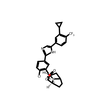 O=S(=O)(c1cc(-c2ncc(-c3ccc(C(F)(F)F)c(C4CC4)c3)[nH]2)ccc1Cl)N1C2CC[C@H]1C[C@@H](O)C2